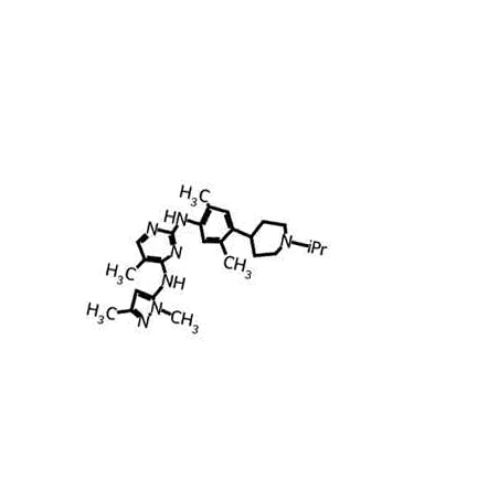 Cc1cc(Nc2nc(Nc3cc(C)c(C4CCN(C(C)C)CC4)cc3C)ncc2C)n(C)n1